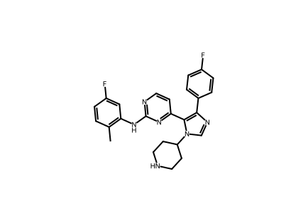 Cc1ccc(F)cc1Nc1nccc(-c2c(-c3ccc(F)cc3)ncn2C2CCNCC2)n1